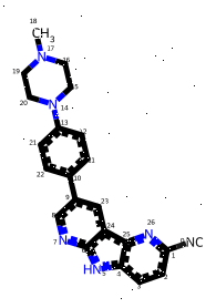 [C-]#[N+]c1ccc2[nH]c3ncc(-c4ccc(N5CCN(C)CC5)cc4)cc3c2n1